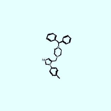 Cc1ccc(N2CNC=C2CN2CCN(C(c3ccccc3)c3ccccc3)CC2)cc1